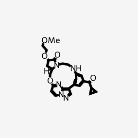 COCCOC1C[C@H]2COc3ccn4ncc(c4n3)-c3cc(cc(C(=O)C4CC4)c3)NCCN2C1=O